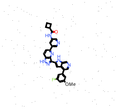 COc1cc(F)cc(-c2cncc3[nH]c(-c4n[nH]c5ccc(-c6cncc(NC(=O)C7CCC7)c6)nc45)cc23)c1